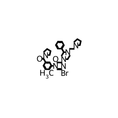 Cc1ccc(C(=O)N2CCCC2)cc1-n1cc(Br)nc(N2CCN(CCN3CCCC3)C(c3ccccc3)C2)c1=O